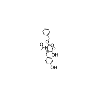 CC(=O)N(C(=O)OCc1ccccc1)[C@H](Cc1ccc(O)cc1)C(=O)O